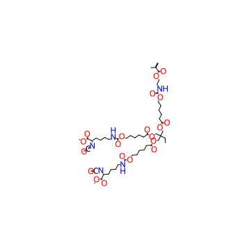 C=C(C)C(=O)OCCNC(=O)OCCCCCC(=O)OCC(CC)(COC(=O)CCCCCOC(=O)NCCCCC(N=C=O)C(=O)OC)COC(=O)CCCCCOC(=O)NCCCCC(N=C=O)C(=O)OC